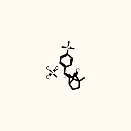 CC12CCC(/C(=C/c3ccc([N+](C)(C)C)cc3)C1=O)C2(C)C.CS(=O)(=O)[O-]